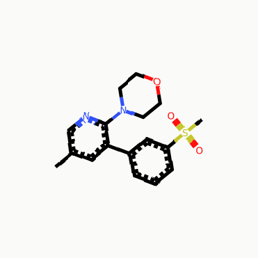 Cc1cnc(N2CCOCC2)c(-c2cccc(S(C)(=O)=O)c2)c1